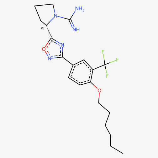 CCCCCCOc1ccc(-c2noc([C@@H]3CCCN3C(=N)N)n2)cc1C(F)(F)F